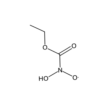 CCOC(=O)N([O])O